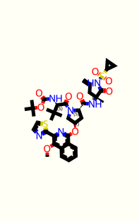 C=CC[C@@](C)(NC(=O)[C@@H]1C[C@@H](Oc2nc(-c3nccs3)c(OC)c3ccccc23)CN1C(=O)[C@@H](NC(=O)OC(C)(C)C)C(C)(C)C)C(=O)NS(=O)(=O)C1CC1